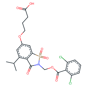 CC(C)c1cc(OCCCC(=O)O)cc2c1C(=O)N(COC(=O)c1c(Cl)cccc1Cl)S2(=O)=O